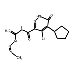 C=C(N/N=N\C)NC(=O)c1n[nH]c(=O)c(C2CCCC2)c1Cl